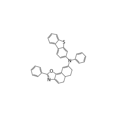 C1=C(N(c2ccccc2)c2ccc3c(c2)sc2ccccc23)CCC2CC=c3nc(-c4ccccc4)oc3=C12